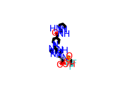 O=C(NC1=NCCCN1)C1CCN(c2ncnc3c2ncn3C[C@H](NS(=O)(=O)CC(F)(F)F)C(=O)O)CC1